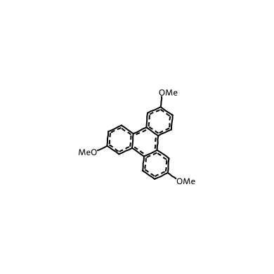 COc1ccc2c(c1)c1ccc(OC)cc1c1ccc(OC)cc21